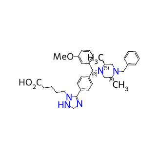 COc1cccc([C@@H](c2ccc(C3=NCNN3CCCCC(=O)O)cc2)N2C[C@@H](C)N(Cc3ccccc3)C[C@@H]2C)c1